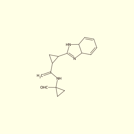 C=C(NC1(C=O)CC1)C1CC1C1=NC2C=CC=CC2N1